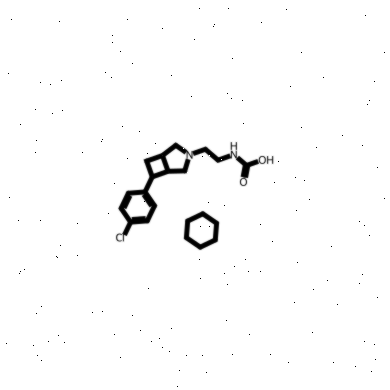 C1CCCCC1.O=C(O)NCCN1CC2CC(c3ccc(Cl)cc3)C2C1